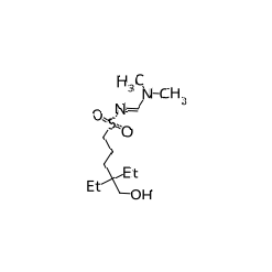 CCC(CC)(CO)CCCS(=O)(=O)N=CN(C)C